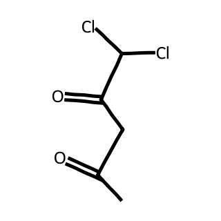 CC(=O)CC(=O)C(Cl)Cl